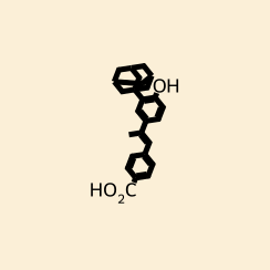 CC(=Cc1ccc(C(=O)O)cc1)c1ccc(O)c(C23CC4CC(CC(C4)C2)C3)c1